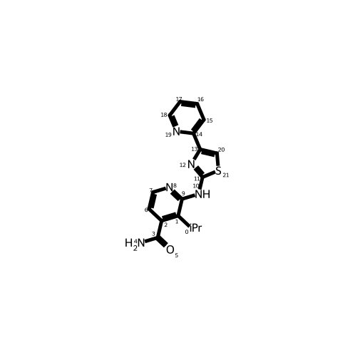 CC(C)c1c(C(N)=O)ccnc1Nc1nc(-c2ccccn2)cs1